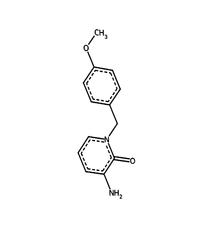 COc1ccc(Cn2cccc(N)c2=O)cc1